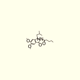 CCCCC(=O)NC1=C(CC(C)C)c2cc(OC)c(OC)cc2C1=O